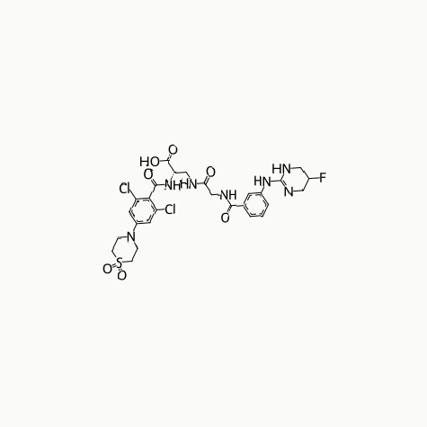 O=C(CNC(=O)c1cccc(NC2=NCC(F)CN2)c1)NCC(NC(=O)c1c(Cl)cc(N2CCS(=O)(=O)CC2)cc1Cl)C(=O)O